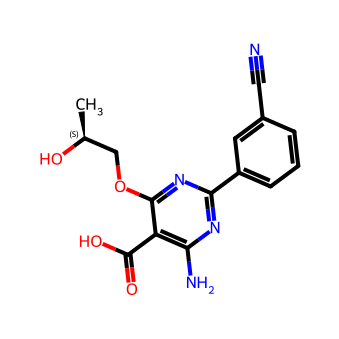 C[C@H](O)COc1nc(-c2cccc(C#N)c2)nc(N)c1C(=O)O